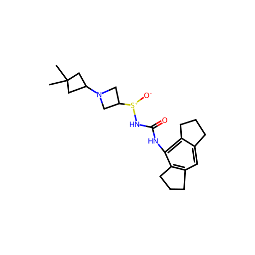 CC1(C)CC(N2CC([S+]([O-])NC(=O)Nc3c4c(cc5c3CCC5)CCC4)C2)C1